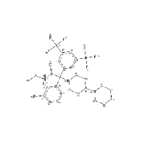 CCNC(=O)C(c1cc(C(F)(F)F)cc(C(F)(F)F)c1)(c1cccc(F)c1F)N1CCC(N2CCCCC2)CC1